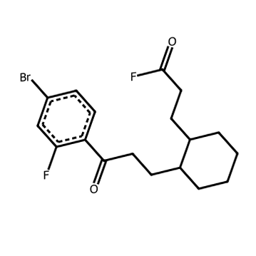 O=C(F)CCC1CCCCC1CCC(=O)c1ccc(Br)cc1F